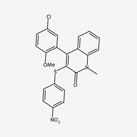 COc1ccc(Cl)cc1-c1c(Sc2ccc([N+](=O)[O-])cc2)c(=O)n(C)c2ccccc12